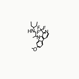 CCC(CC)NCC(C)n1c2cc(OC)ccc2c2ccnc(C(F)(F)F)c21